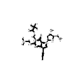 CC#Cc1cn([C@H]2C[C@H](O)[C@@H](CO)O2)c2c(=O)n(COC(=O)C(C)(C)C)c(/N=C/N(C)C)nc12